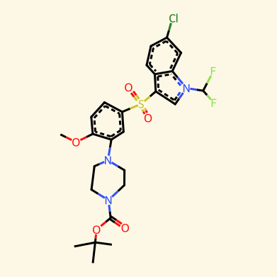 COc1ccc(S(=O)(=O)c2cn(C(F)F)c3cc(Cl)ccc23)cc1N1CCN(C(=O)OC(C)(C)C)CC1